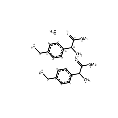 COC(=O)C(C)c1ccc(CC(C)C)cc1.COC(=O)C(C)c1ccc(CC(C)C)cc1.O